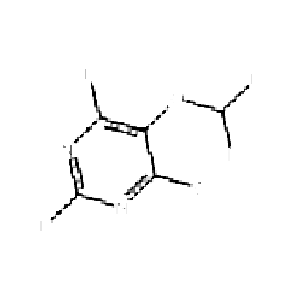 Fc1nc(F)c(OC(F)F)c(Cl)n1